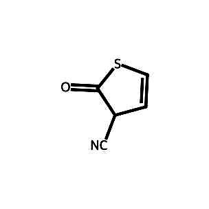 N#CC1C=CSC1=O